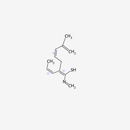 C=N/C(S)=C(\C=C/C)C/C=C\C(=C)C